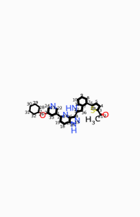 CC(=O)c1ccc(-c2cccc3[nH]c(-c4n[nH]c5ccc(-c6cncc(OC7CCCCC7)c6)nc45)cc23)s1